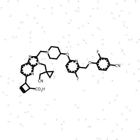 N#CCC1(Cn2c(CN3CCC(Oc4ccc(F)c(COc5ccc(C#N)cc5F)n4)CC3)nc3ccc(C4C#CC4C(=O)O)nc32)CC1